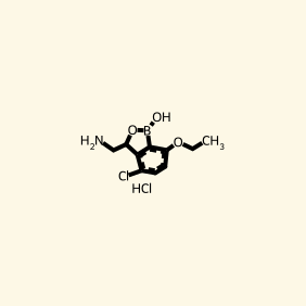 CCOc1ccc(Cl)c2c1B(O)OC2CN.Cl